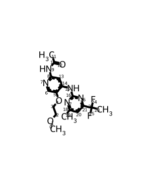 COCCOc1cnc(NC(C)=O)cc1Nc1nc(C)cc(C(C)(F)F)n1